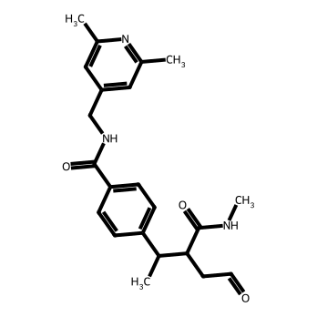 CNC(=O)C(CC=O)C(C)c1ccc(C(=O)NCc2cc(C)nc(C)c2)cc1